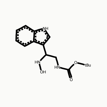 CC(C)(C)OC(=O)NCC(NO)c1c[nH]c2ccccc12